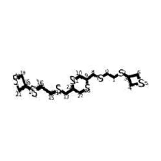 C(CSC1CSC1)SCC1CSC(CSCCSC2CSC2)CS1